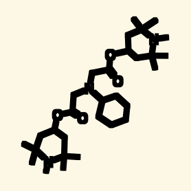 CN1C(C)(C)CC(OC(=O)CN(CC(=O)OC2CC(C)(C)N(C)C(C)(C)C2)C2CCCCC2)CC1(C)C